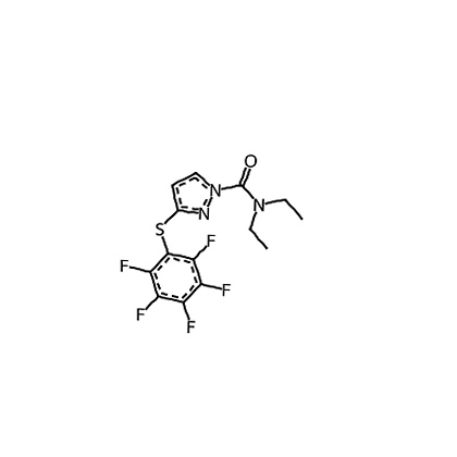 CCN(CC)C(=O)n1ccc(Sc2c(F)c(F)c(F)c(F)c2F)n1